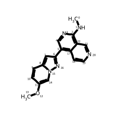 CNc1ncc(-c2cc3ccc(OC)cn3n2)c2ccncc12